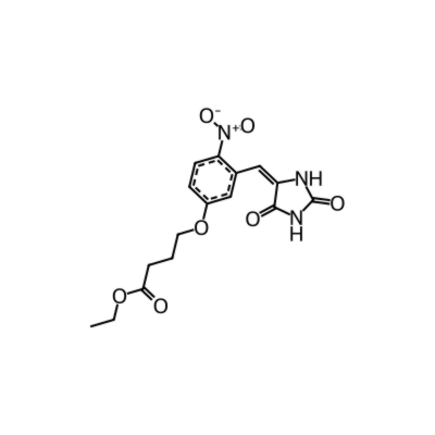 CCOC(=O)CCCOc1ccc([N+](=O)[O-])c(C=C2NC(=O)NC2=O)c1